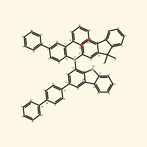 CC1(C)c2ccccc2-c2ccc(N(c3ccc(-c4ccccc4)cc3-c3ccccc3)c3cc(-c4ccc(-c5ccccc5)cc4)cc4c3sc3ccccc34)cc21